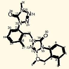 COCc1c(C)cccc1-n1nnn(Cc2c(C)cccc2-n2nnn(C)c2=O)c1=O